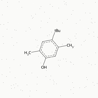 Cc1cc(C(C)(C)C)c(C)cc1O